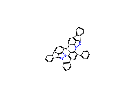 c1ccc(-c2cc(-c3ccccc3)c3c4c2-n2nc5c6c(ccc(c62)B4c2ccc4c6c(nn-3c26)-c2ccccc2-4)-c2ccccc2-5)cc1